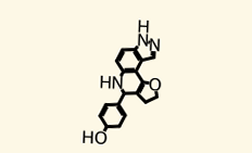 OC1C=CC(C2Nc3ccc4[nH]ncc4c3C3=C2CCO3)=CC1